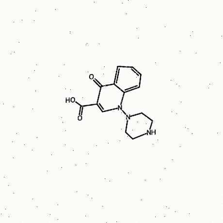 O=C(O)c1cn(N2CCNCC2)c2ccccc2c1=O